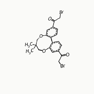 CC1(C)COc2cc(C(=O)CBr)ccc2-c2ccc(C(=O)CBr)cc2OC1